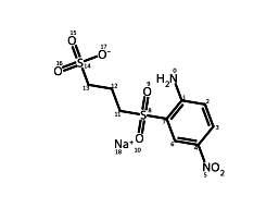 Nc1ccc([N+](=O)[O-])cc1S(=O)(=O)CCCS(=O)(=O)[O-].[Na+]